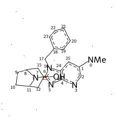 CNc1cnc2nc(N3C4CCC3CC(O)C4)n(Cc3ccccc3)c2c1